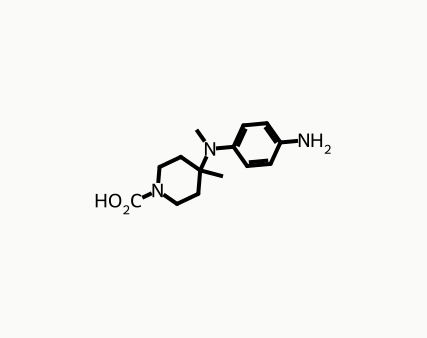 CN(c1ccc(N)cc1)C1(C)CCN(C(=O)O)CC1